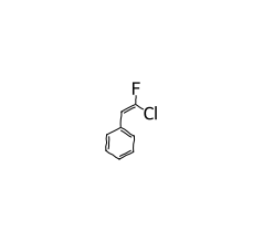 FC(Cl)=Cc1ccccc1